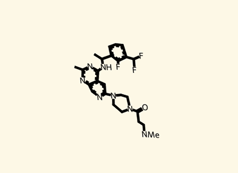 CNCCC(=O)N1CCN(c2cc3c(NC(C)c4cccc(C(F)F)c4F)nc(C)nc3cn2)CC1